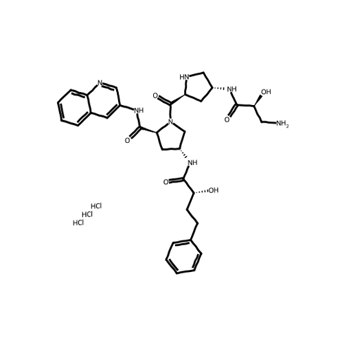 Cl.Cl.Cl.NC[C@H](O)C(=O)N[C@H]1CN[C@H](C(=O)N2C[C@H](NC(=O)[C@H](O)CCc3ccccc3)C[C@H]2C(=O)Nc2cnc3ccccc3c2)C1